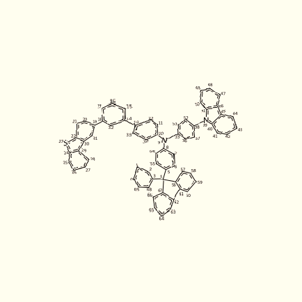 c1ccc(C2(c3ccc(N(c4ccc(-c5cccc(-c6ccc7sc8ccccc8c7c6)c5)cc4)c4ccc(-n5c6ccccc6c6ccccc65)cc4)cc3)c3ccccc3-c3ccccc32)cc1